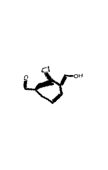 O=CC1=C(Cl)/C(=C/O)C=CC1